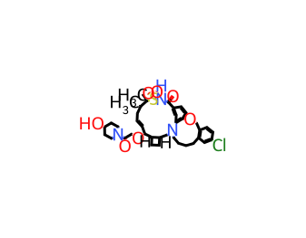 C[C@@H]1[C@@H](C)C/C=C/[C@H](OCC(=O)N2CCC(O)CC2)[C@@H]2CC[C@H]2CN2CCCCc3cc(Cl)ccc3COc3ccc(cc32)C(=O)NS1(=O)=O